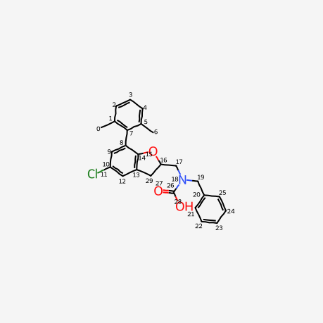 Cc1cccc(C)c1-c1cc(Cl)cc2c1OC(CN(Cc1ccccc1)C(=O)O)C2